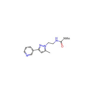 CNC(=O)NCCn1nc(-c2cccnc2)cc1C